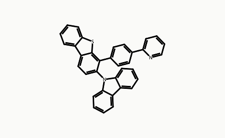 c1ccc(-c2ccc(-c3c(-n4c5ccccc5c5ccccc54)ccc4c3sc3ccccc34)cc2)nc1